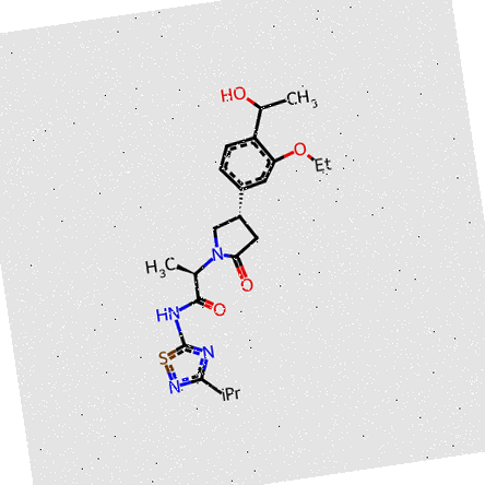 CCOc1cc([C@@H]2CC(=O)N([C@H](C)C(=O)Nc3nc(C(C)C)ns3)C2)ccc1C(C)O